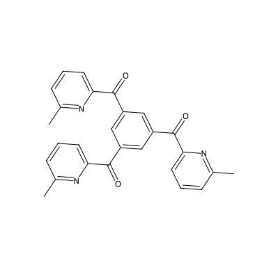 Cc1cccc(C(=O)c2cc(C(=O)c3cccc(C)n3)cc(C(=O)c3cccc(C)n3)c2)n1